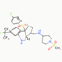 CS(=O)(=O)N1CCC(NCC2CC[C@@]3(S(=O)(=O)c4ccc(F)cc4)c4ccc(C(F)(C(F)(F)F)C(F)(F)F)cc4NC[C@@H]23)CC1